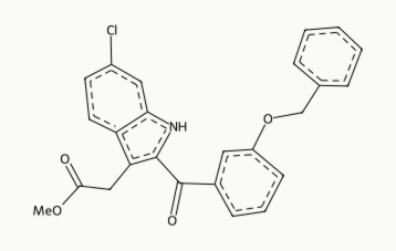 COC(=O)Cc1c(C(=O)c2cccc(OCc3ccccc3)c2)[nH]c2cc(Cl)ccc12